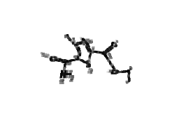 CCOC(=O)c1nc(C)c(C(N)=O)s1